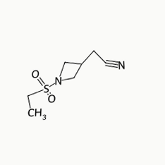 CCS(=O)(=O)N1CC(CC#N)C1